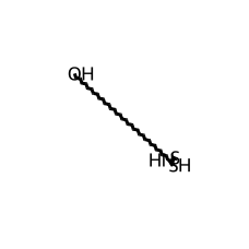 OCCCCCCCCCCCCCCCCCCCCCCCCCCCCCCCCNC(=S)S